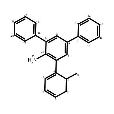 CC1CC=CC=C1c1cc(-c2ccccc2)cc(-c2ccccc2)c1N